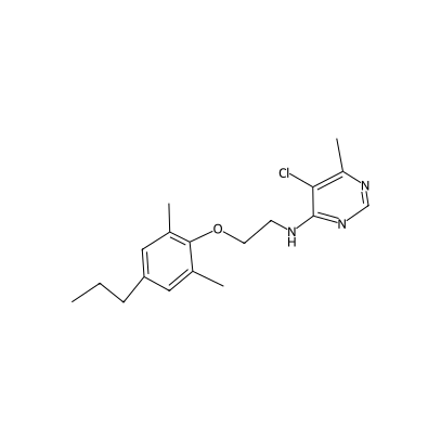 CCCc1cc(C)c(OCCNc2ncnc(C)c2Cl)c(C)c1